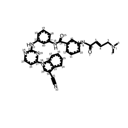 CN(C)C/C=C/C(=O)Nc1cccc(C(=O)Nc2cccc(Nc3nccc(-n4cc(C#N)c5ccccc54)n3)c2)c1